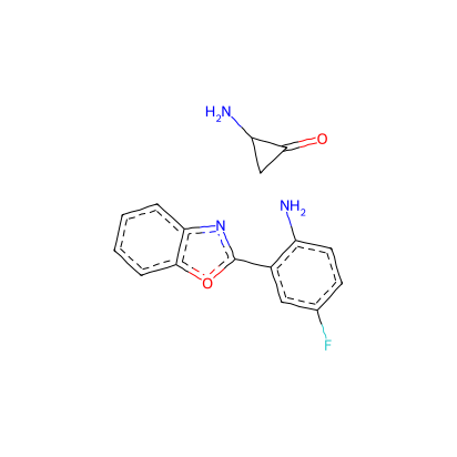 NC1CC1=O.Nc1ccc(F)cc1-c1nc2ccccc2o1